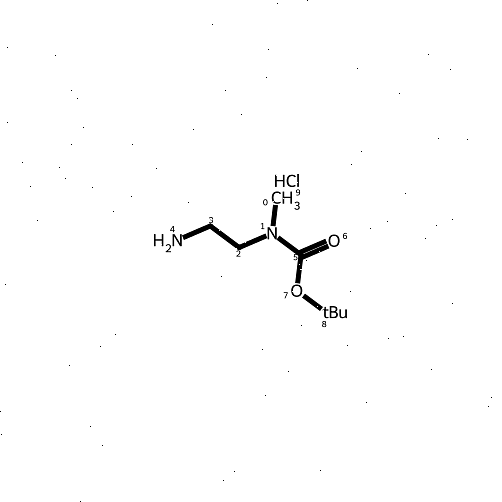 CN(CCN)C(=O)OC(C)(C)C.Cl